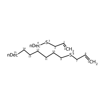 C=CCSCCCCCCCCCC.C=CCSCCCCCCCCCCCCCCCC